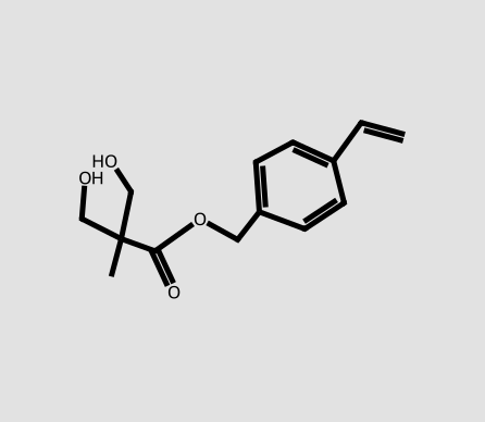 C=Cc1ccc(COC(=O)C(C)(CO)CO)cc1